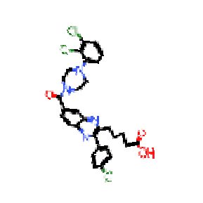 O=C(O)CCCCc1nc2cc(C(=O)N3CCN(c4cccc(Cl)c4Cl)CC3)ccc2nc1-c1ccc(Cl)cc1